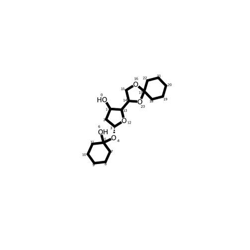 OC1C[C@@H](OC2(O)CCCCC2)OC1C1COC2(CCCCC2)O1